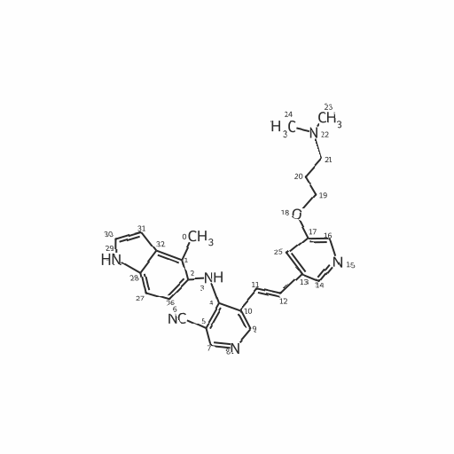 Cc1c(Nc2c(C#N)cncc2/C=C/c2cncc(OCCCN(C)C)c2)ccc2[nH]ccc12